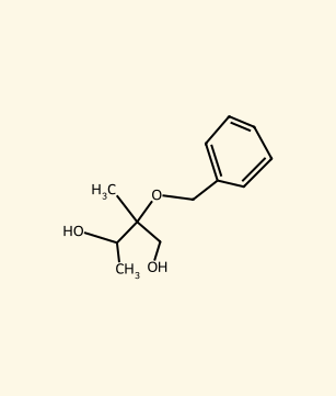 CC(O)C(C)(CO)OCc1ccccc1